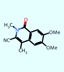 COc1cc2c(C)c(C#N)n(C)c(=O)c2cc1OC